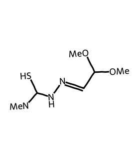 CNC(S)N/N=C/C(OC)OC